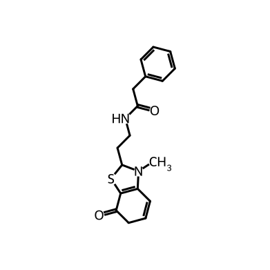 CN1C2=C(SC1CCNC(=O)Cc1ccccc1)C(=O)CC=C2